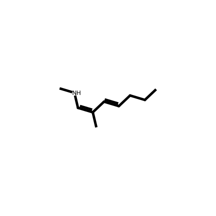 CCC/C=C/C(C)=C\NC